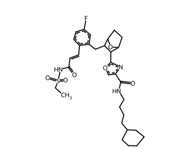 CCS(=O)(=O)NC(=O)/C=C/c1ccc(F)cc1CC1C2CCC(O2)C1c1nc(C(=O)NCCCCC2CCCCC2)co1